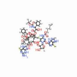 CC(=O)O[C@@]12CO[C@@H]1C[C@H](O)[C@@]1(C)C(=O)[C@H](O)C3=C(C)[C@@H](OC(=O)[C@H](O)[C@@H](NC(=O)OC(C)(C)C)c4ccccc4)C[C@@](O)([C@@H](OC(=O)c4ccccc4)[C@H]21)C3(C)C.CCCCCOC(=O)Nc1nc(=O)n([C@@H]2O[C@H](C)[C@@H](O)[C@H]2O)cc1F.Nc1nc(=S)c2[nH]cnc2[nH]1.S=c1nc[nH]c2nc[nH]c12